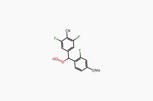 COc1ccc(C(OO)c2cc(F)c(C#N)c(F)c2)c(F)c1